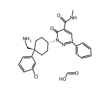 CNC(=O)c1cc(-c2ccccc2)nn([C@H]2CC[C@@](CN)(c3cccc(Cl)c3)CC2)c1=O.O=CO